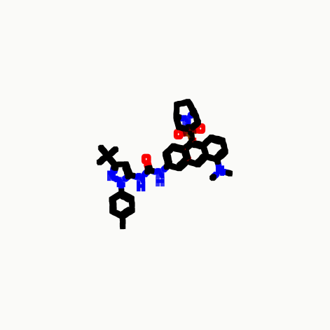 Cc1ccc(-n2nc(C(C)(C)C)cc2NC(=O)Nc2ccc(CC3CC4CCC(C3)N4S(=O)(=O)c3cccc4c(N(C)C)cccc34)cc2)cc1